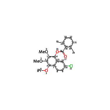 COc1c(OC)c(OC(C)C)c2ccc(Cl)cc2c1OC(=O)c1c(C)cccc1C